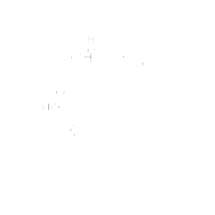 COC(=O)c1cc(-c2ccccc2)c(C(=O)O)c(C(=O)O)c1C(=O)O